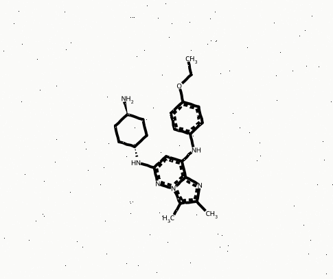 CCOc1ccc(Nc2cc(N[C@H]3CC[C@H](N)CC3)nn3c(C)c(C)nc23)cc1